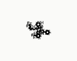 NC(Cn1c(=O)c2c(n(Cc3c(F)cccc3C(F)(F)F)c1=O)[C@@H](Cc1ccc(C(F)(F)F)o1)OC21CCNCC1)c1ccccc1